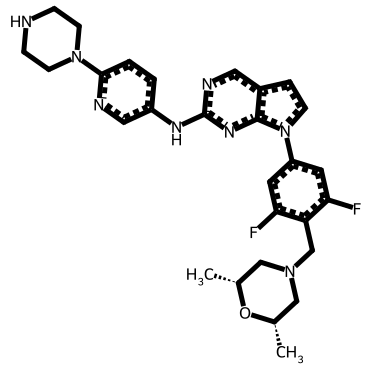 C[C@@H]1CN(Cc2c(F)cc(-n3ccc4cnc(Nc5ccc(N6CCNCC6)nc5)nc43)cc2F)C[C@H](C)O1